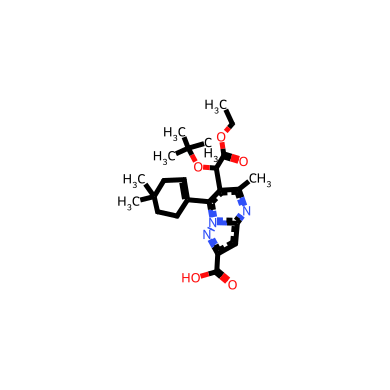 CCOC(=O)C(OC(C)(C)C)c1c(C)nc2cc(C(=O)O)nn2c1C1=CCC(C)(C)CC1